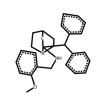 COc1ccccc1CNC1(C(c2ccccc2)c2ccccc2)CC2CCN1CC2